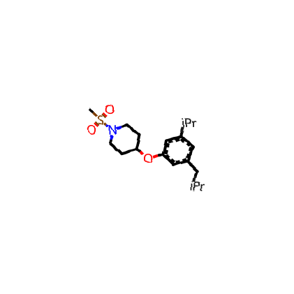 CC(C)Cc1cc(OC2CCN(S(C)(=O)=O)CC2)cc(C(C)C)c1